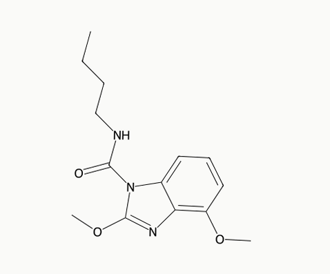 CCCCNC(=O)n1c(OC)nc2c(OC)cccc21